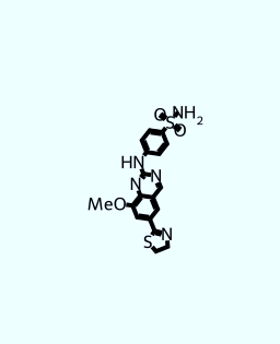 COc1cc(C2=NCCS2)cc2cnc(Nc3ccc(S(N)(=O)=O)cc3)nc12